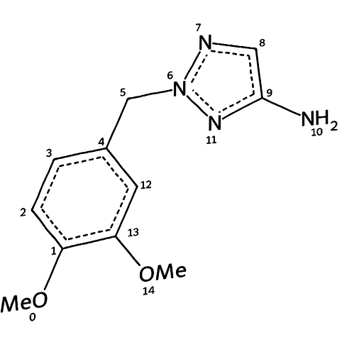 COc1ccc(Cn2ncc(N)n2)cc1OC